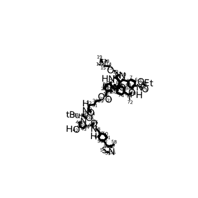 CCS(=O)(=O)Nc1ccc(-c2nn(COCC[Si](C)(C)C)c(Nc3ccc(C(=O)OCCCCC(=O)N[C@H](C(=O)N4C[C@H](O)C[C@H]4C(=O)NCc4ccc(-c5scnc5C)cc4)C(C)(C)C)cn3)c2C(N)=O)cc1O[C@@H](C)c1ccc(F)cc1